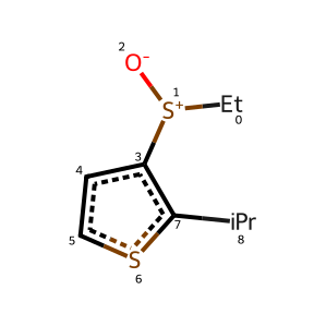 CC[S+]([O-])c1ccsc1C(C)C